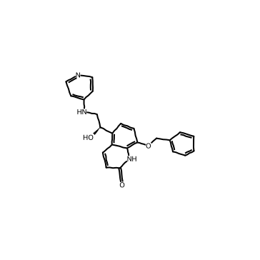 O=c1ccc2c([C@@H](O)CNc3ccncc3)ccc(OCc3ccccc3)c2[nH]1